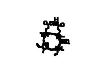 C=CC1=C(C)c2cc3[nH]c(cc4nc(cc5[nH]c(cc1n2)c(C)c5CCC(=O)O)C(CCC(=O)O)=C4C)c(C)c3C=C.Cl.Cl